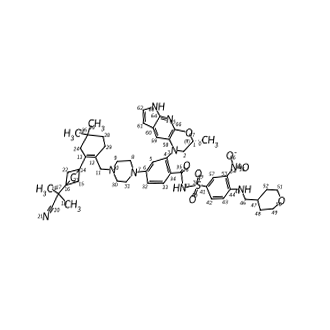 C[C@@H]1CN(c2cc(N3CCN(CC4=C(C56CC(C(C)(C)C#N)(C5)C6)CC(C)(C)CC4)CC3)ccc2C(=O)NS(=O)(=O)c2ccc(NCC3CCOCC3)c([N+](=O)[O-])c2)c2cc3cc[nH]c3nc2O1